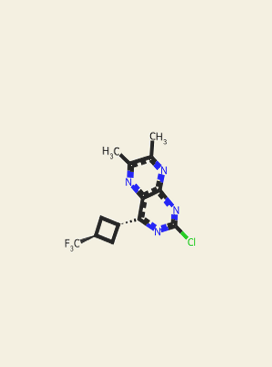 Cc1nc2nc(Cl)nc([C@H]3C[C@H](C(F)(F)F)C3)c2nc1C